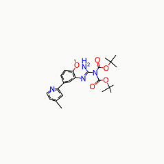 COc1ccc(-c2cc(C)ccn2)cc1N=C(N)N(C(=O)OC(C)(C)C)C(=O)OC(C)(C)C